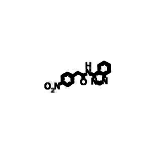 O=C(Cc1ccc([N+](=O)[O-])cc1)Nc1ncnc2ccccc12